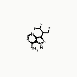 Nc1ncnc2c(C(CF)C(F)F)n[nH]c12